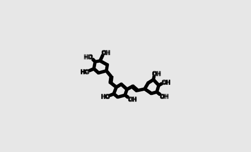 OC1CC(O)C(/C=C/C2CC(O)C(O)C(O)C2)CC1/C=C/C1CC(O)C(O)C(O)C1